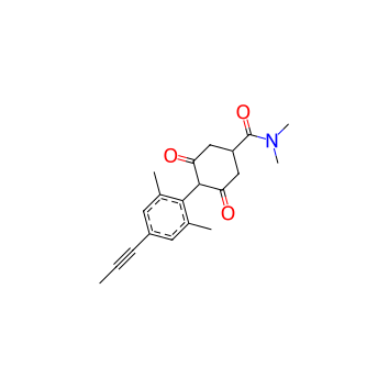 CC#Cc1cc(C)c(C2C(=O)CC(C(=O)N(C)C)CC2=O)c(C)c1